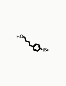 CC(C)(C)c1ccc(CCCCO)cc1